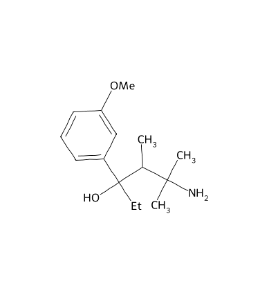 CCC(O)(c1cccc(OC)c1)C(C)C(C)(C)N